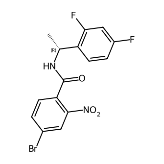 C[C@@H](NC(=O)c1ccc(Br)cc1[N+](=O)[O-])c1ccc(F)cc1F